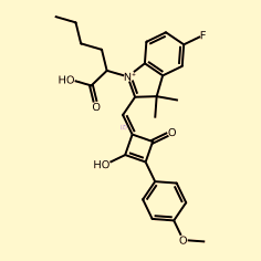 CCCCC(C(=O)O)[N+]1=C(/C=C2\C(=O)C(c3ccc(OC)cc3)=C2O)C(C)(C)c2cc(F)ccc21